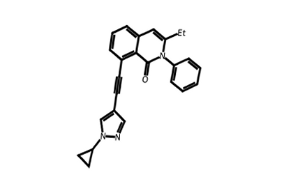 CCc1cc2cccc(C#Cc3cnn(C4CC4)c3)c2c(=O)n1-c1ccccc1